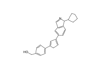 OCc1ccc(C2=CC(c3ccc4c(c3)C=NC4C3CCCC3)=CC2)cc1